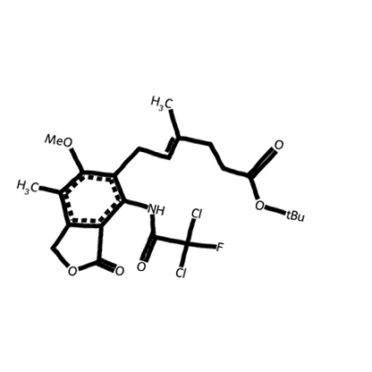 COc1c(C)c2c(c(NC(=O)C(F)(Cl)Cl)c1C/C=C(\C)CCC(=O)OC(C)(C)C)C(=O)OC2